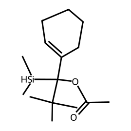 CC(=O)OC(C1=CCCCC1)([SiH](C)C)C(C)(C)C